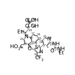 CCNC(=O)Nc1cc(-c2nc(C(F)(F)F)cs2)c(-c2ccc3c(c2)c(=O)c(C(=O)O)cn3[C@@H](CC)COP(=O)(O)O)cn1